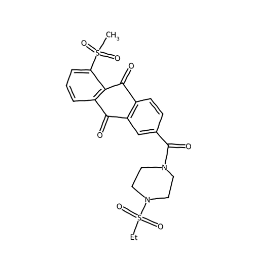 CCS(=O)(=O)N1CCN(C(=O)c2ccc3c(c2)C(=O)c2cccc(S(C)(=O)=O)c2C3=O)CC1